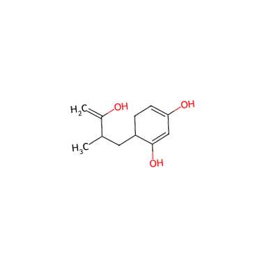 C=C(O)C(C)CC1CC=C(O)C=C1O